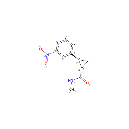 CNC(=O)[C@H]1C[C@@H]1c1cncc([N+](=O)[O-])c1